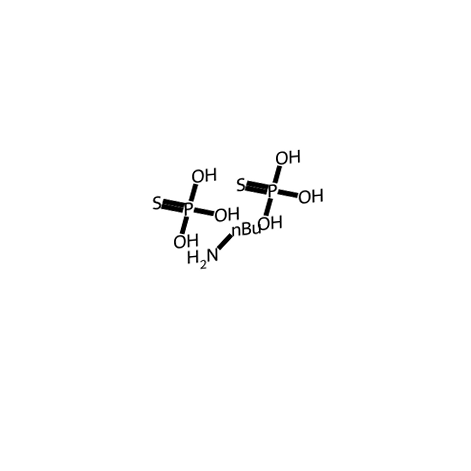 CCCCN.OP(O)(O)=S.OP(O)(O)=S